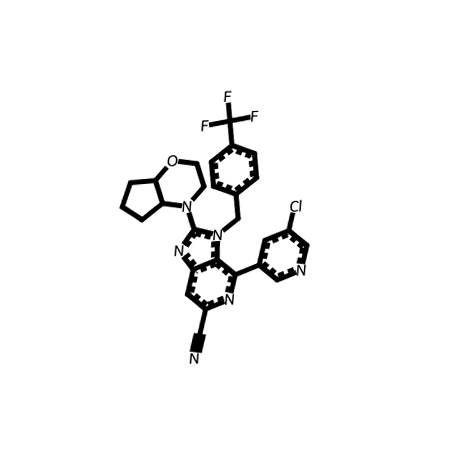 N#Cc1cc2nc(N3CCOC4CCCC43)n(Cc3ccc(C(F)(F)F)cc3)c2c(-c2cncc(Cl)c2)n1